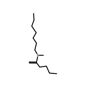 C=C(CCCC)N(C)CCCCCCC